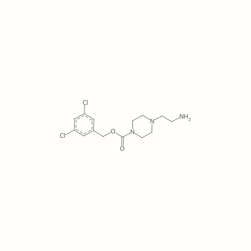 NCCN1CCN(C(=O)OCc2cc(Cl)cc(Cl)c2)CC1